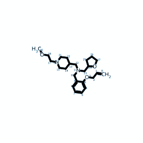 C=CCOc1ccccc1CN(CC1CCN(CCOC)CC1)CC1CCCO1